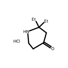 CCC1(CC)CC(=O)CCN1.Cl